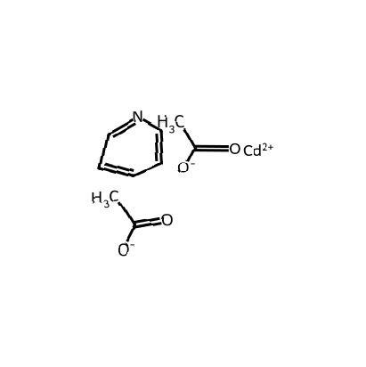 CC(=O)[O-].CC(=O)[O-].[Cd+2].c1ccncc1